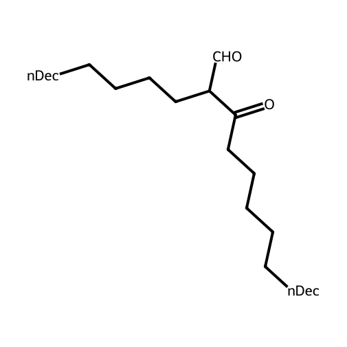 CCCCCCCCCCCCCCCC(=O)C(C=O)CCCCCCCCCCCCCC